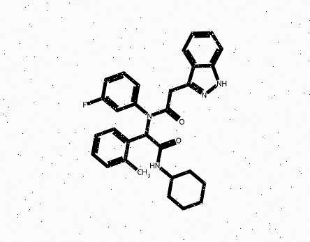 Cc1ccccc1C(C(=O)NC1CCCCC1)N(C(=O)Cc1n[nH]c2ccccc12)c1cccc(F)c1